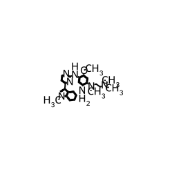 COc1cc(N(C)CCN(C)C)c(N)cc1Nc1nccc(-c2cn(C)c3ccccc23)n1